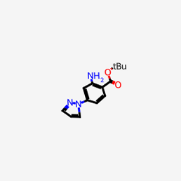 CC(C)(C)OC(=O)c1ccc(-n2cccn2)cc1N